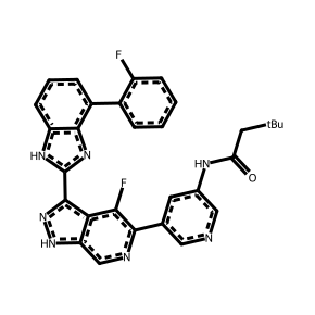 CC(C)(C)CC(=O)Nc1cncc(-c2ncc3[nH]nc(-c4nc5c(-c6ccccc6F)cccc5[nH]4)c3c2F)c1